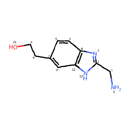 NCc1nc2ccc(CCO)cc2[nH]1